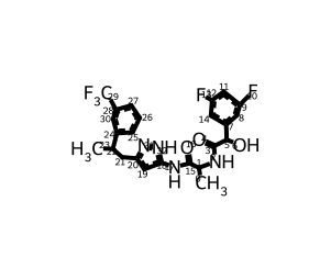 CC(NC(=O)C(O)c1cc(F)cc(F)c1)C(=O)Nc1cc(CC(C)c2cccc(C(F)(F)F)c2)n[nH]1